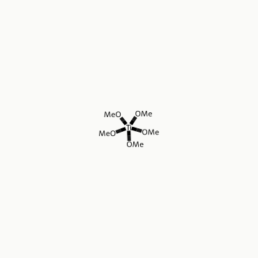 C[O][Ti]([O]C)([O]C)([O]C)[O]C